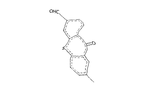 Cc1ccc2sc3cc(C=O)ccc3c(=O)c2c1